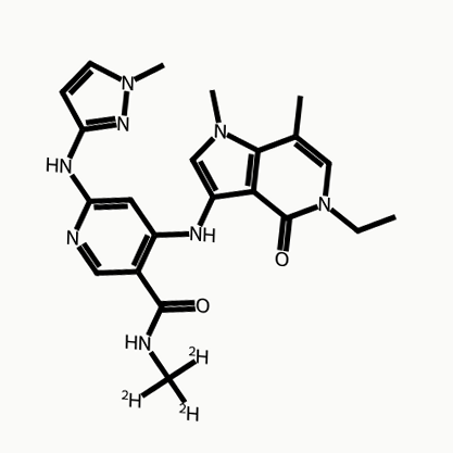 [2H]C([2H])([2H])NC(=O)c1cnc(Nc2ccn(C)n2)cc1Nc1cn(C)c2c(C)cn(CC)c(=O)c12